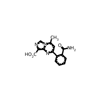 Cc1cc(-c2ccccc2C(N)=O)nc2c(C(=O)O)ncn12